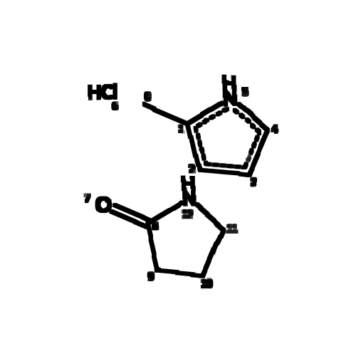 Cc1ccc[nH]1.Cl.O=C1CCCN1